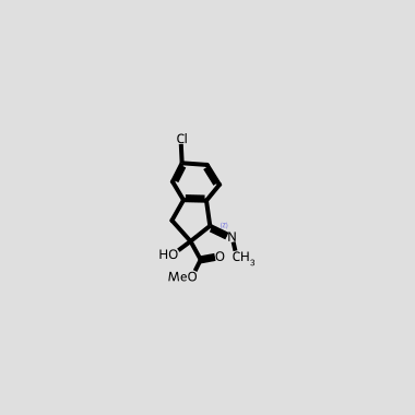 C/N=C1/c2ccc(Cl)cc2CC1(O)C(=O)OC